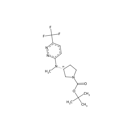 CN(c1ccc(C(F)(F)F)nn1)[C@@H]1CCN(C(=O)OC(C)(C)C)C1